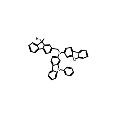 CC[C@]1(C)c2ccccc2-c2ccc(CN(c3ccc4c(c3)oc3ccccc34)c3ccc4c5ccccc5n(-c5ccccc5)c4c3)cc21